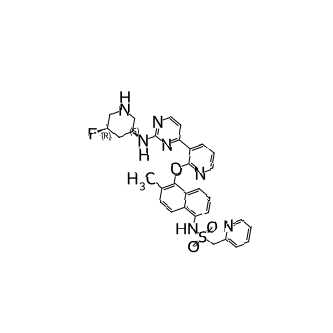 Cc1ccc2c(NS(=O)(=O)Cc3ccccn3)cccc2c1Oc1ncccc1-c1ccnc(N[C@@H]2CNC[C@H](F)C2)n1